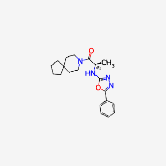 C[C@@H](Nc1nnc(-c2ccccc2)o1)C(=O)N1CCC2(CCCC2)CC1